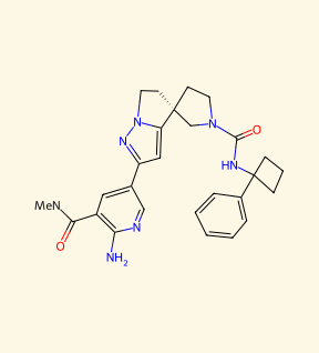 CNC(=O)c1cc(-c2cc3n(n2)CC[C@@]32CCN(C(=O)NC3(c4ccccc4)CCC3)C2)cnc1N